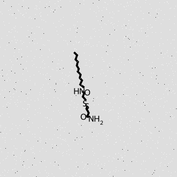 CCCCCCCCCCCCNC(=O)CCSSCCC(N)=O